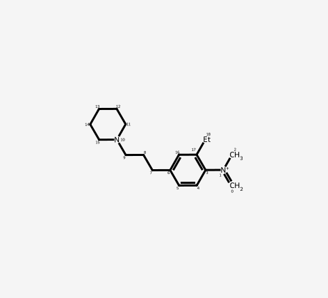 C=[N+](C)c1ccc(CCCN2CCCCC2)cc1CC